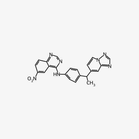 CC(c1ccc(Nc2ncnc3ccc([N+](=O)[O-])cc23)cc1)c1ccn2ncnc2c1